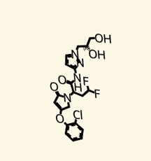 O=C(Nc1ccn(C[C@@H](O)CO)n1)C(CC(F)F)N1CC(Oc2ccccc2Cl)=CC1=O